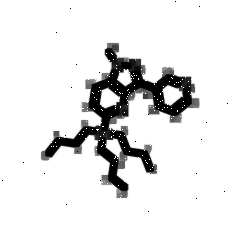 CCC[CH2][Sn]([CH2]CCC)([CH2]CCC)[c]1ccc2c(n1)c(-c1cccnc1)nn2C